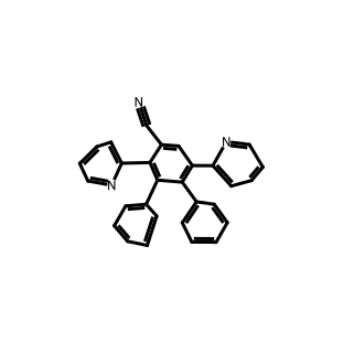 N#Cc1cc(-c2ccccn2)c(-c2ccccc2)c(-c2ccccc2)c1-c1ccccn1